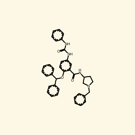 O=C(Nc1ccccc1)Nc1ccc(OC(c2ccccc2)c2ccccc2)c(C(=O)NC2CCN(Cc3ccccc3)C2)c1